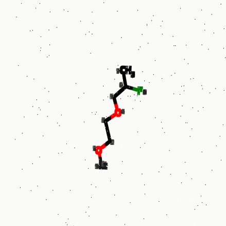 CCOCCOCC(C)F